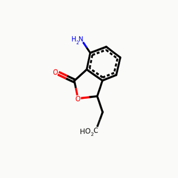 Nc1cccc2c1C(=O)OC2CC(=O)O